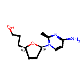 C=C1N=C(N)C=CN1[C@H]1CC[C@@H](CCCO)O1